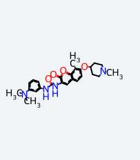 Cc1c(OC2CCN(C)CC2)ccc2cc(NC(=O)Nc3cccc(N(C)C)c3)c(=O)oc12